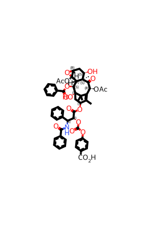 CC(=O)O[C@H]1C(=O)[C@@]2(C)[C@H]([C@H](OC(=O)c3ccccc3)[C@]3(O)C[C@H](OC(=O)[C@H](OC(=O)Oc4ccc(C(=O)O)cc4)[C@@H](NC(=O)c4ccccc4)c4ccccc4)C(C)=C1C3(C)C)[C@]1(OC(C)=O)O[C@@H]1C[C@@H]2O